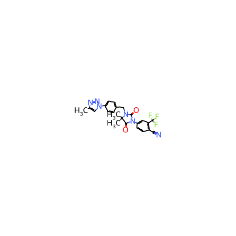 Cc1cn(-c2ccc(CN3C(=O)N(c4ccc(C#N)c(C(F)(F)F)c4)C(=O)C3(C)C)cc2)nn1